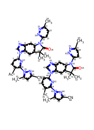 CC(=O)c1ccc(-n2cnc3cc4c(cc32)C(C)(C)C(=O)N4c2ccc(C)nn2)nc1-n1nc(C#N)cc1C.CC(=O)c1ccc(-n2cnc3cc4c(cc32)C(C)(C)C(=O)N4c2ccc(C)nn2)nc1-n1nc(C#N)cc1C